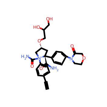 C#Cc1ccc([N+]2(C(N)=O)C[C@H](OCC(O)CO)C[C@]2(C(N)=O)c2ccc(N3CCOCC3=O)cc2)cc1